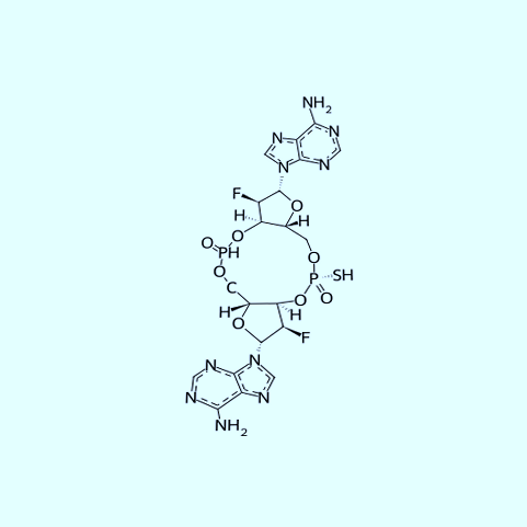 Nc1ncnc2c1ncn2[C@@H]1O[C@@H]2CO[P@](=O)(S)O[C@H]3[C@@H](F)[C@H](n4cnc5c(N)ncnc54)O[C@@H]3CO[PH](=O)O[C@H]2[C@H]1F